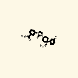 CNC(=O)c1cccc(N2CCN([C@H]3CC[C@](CN)(c4cccc(Cl)c4)CC3)C2=O)c1